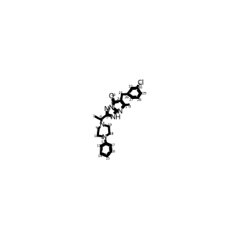 Cc1nc2[nH]c(C(C)N3CCN(c4ccccc4)CC3)nn2c(=O)c1Cc1cccc(Cl)c1